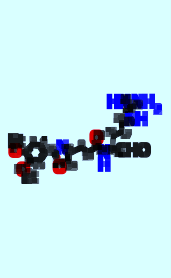 CCOc1ccc(-c2nc(CCC(=O)N[C@H](C=O)CCCNC(=N)N)co2)cc1OCC